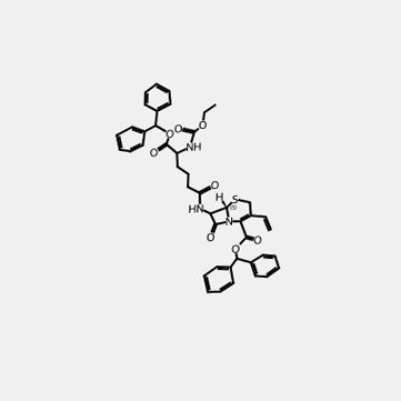 C=CC1=C(C(=O)OC(c2ccccc2)c2ccccc2)N2C(=O)C(NC(=O)CCCC(NC(=O)OCC)C(=O)OC(c3ccccc3)c3ccccc3)[C@@H]2SC1